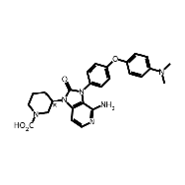 CN(C)c1ccc(Oc2ccc(-n3c(=O)n([C@@H]4CCCN(C(=O)O)C4)c4ccnc(N)c43)cc2)cc1